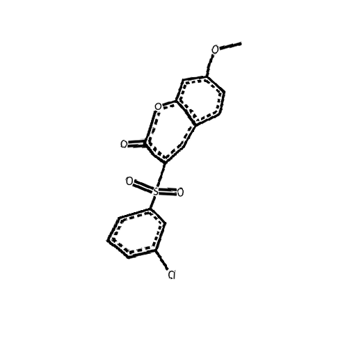 COc1ccc2cc(S(=O)(=O)c3cccc(Cl)c3)c(=O)oc2c1